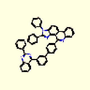 c1ccc(-c2nc(-c3cccc(-c4ccc(-c5nc6ccccc6c6ccc7c(nc(-c8ccccc8)n7-c7ccccc7)c56)cc4)c3)c3ccccc3n2)cc1